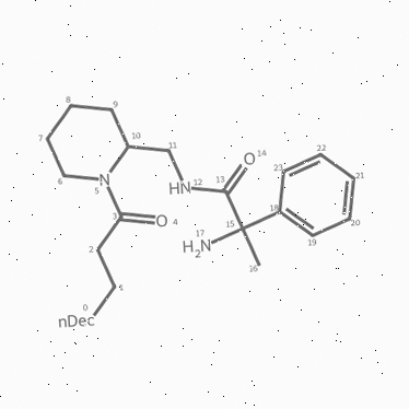 CCCCCCCCCCCCC(=O)N1CCCCC1CNC(=O)C(C)(N)c1ccccc1